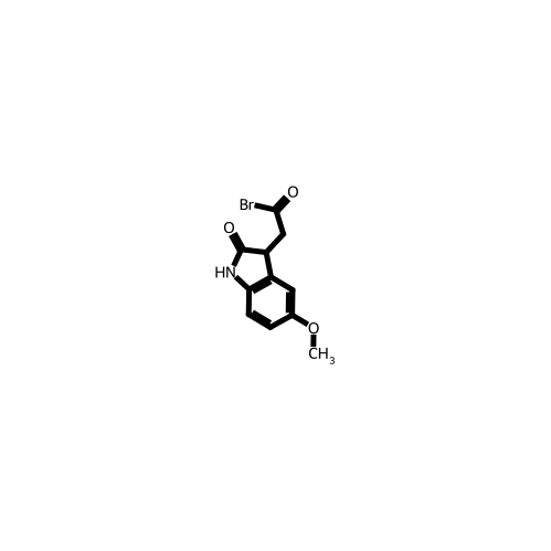 COc1ccc2c(c1)C(CC(=O)Br)C(=O)N2